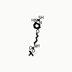 CC(C)(C)OC(=O)NCCCCCOc1ccc2[nH]c(S)nc2c1